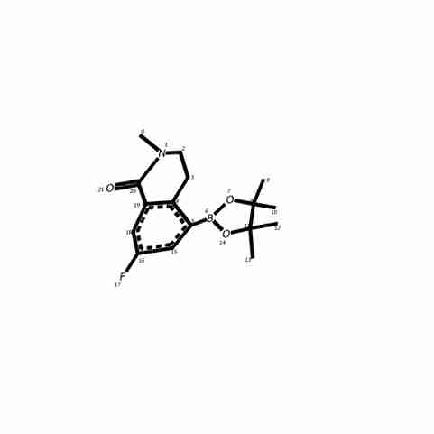 CN1CCc2c(B3OC(C)(C)C(C)(C)O3)cc(F)cc2C1=O